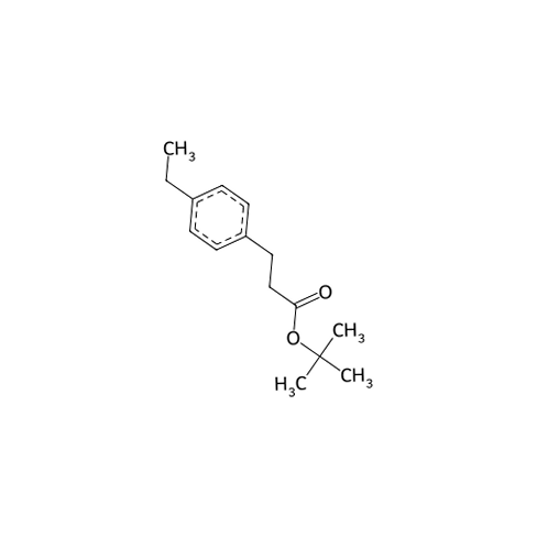 CCc1ccc(CCC(=O)OC(C)(C)C)cc1